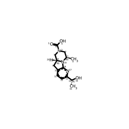 C[C@@H]1CN(C(=O)O)C[C@H]2Cc3ccc([C@@H](C)O)nc3N21